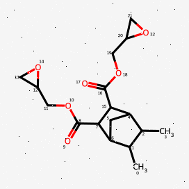 CC1C(C)C2CC1C(C(=O)OCC1CO1)C2C(=O)OCC1CO1